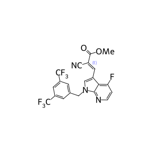 COC(=O)/C(C#N)=C/c1cn(Cc2cc(C(F)(F)F)cc(C(F)(F)F)c2)c2nccc(F)c12